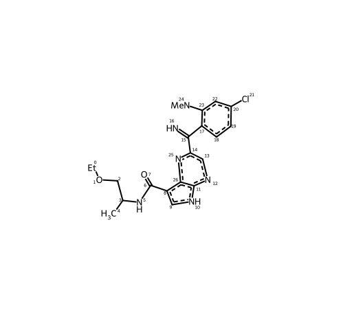 CCOCC(C)NC(=O)c1c[nH]c2ncc(C(=N)c3ccc(Cl)cc3NC)nc12